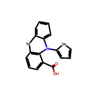 O=C(O)c1cccc2c1N(c1ccc[se]1)c1ccccc1[Se]2